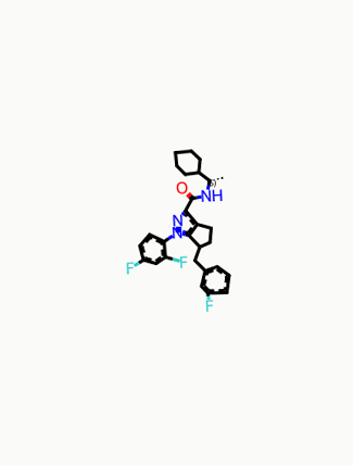 C[C@H](NC(=O)c1nn(-c2ccc(F)cc2F)c2c1CCC2Cc1cccc(F)c1)C1CCCCC1